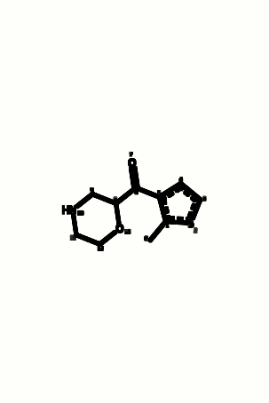 Cc1sccc1C(=O)C1CNCCO1